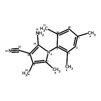 Cc1cc(C)c(-n2c(C)c(C)c(C#N)c2N)c(C)c1